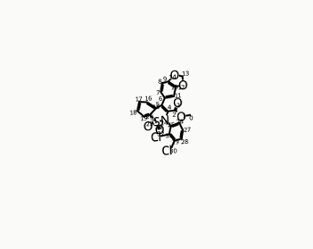 COC(=O)C1=C(c2ccc3c(c2)OCO3)c2ccccc2S(=O)(=O)N1c1cccc(Cl)c1Cl